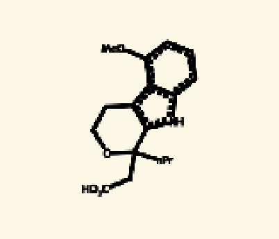 CCCC1(CC(=O)O)OCCc2c1[nH]c1cccc(OC)c21